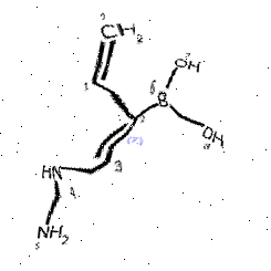 C=C/C(=C\NN)B(O)O